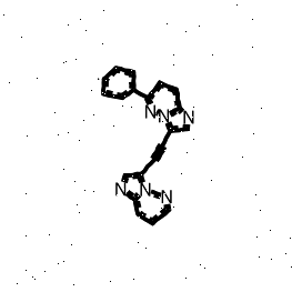 C(#Cc1cnc2ccc(-c3cc[c]cc3)nn12)c1cnc2cccnn12